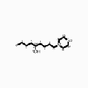 CCCC[C@H](O)CCCCN1CCSCC1